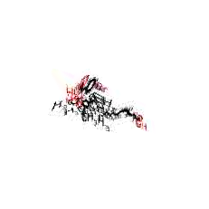 CCC(Oc1ccc(C(C)(C)CC)cc1C(C)(C)CC)C(=O)O.CCCCCC/C=C\CCCC(=O)O.O=C(O)[C@@H](O)c1ccc(Br)cc1